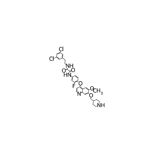 COc1cc2c(Oc3ccc(NC(=O)C(=O)NCCc4cc(Cl)cc(Cl)c4)cc3F)ccnc2cc1OCC1CCNCC1